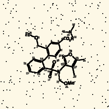 CCOCc1cc(C(=O)O)ccc1-c1ccccc1S(=O)(=O)N(COC)c1noc(C)c1C.CN(C)C